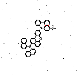 C[Si](C)(C)c1ccc(N(c2ccc3c(c2)Oc2cccc4c(B(c5cccc6ccccc56)c5cccc6ccccc56)ccc-3c24)c2ccccc2-c2ccccc2)cc1